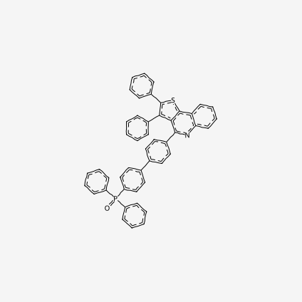 O=P(c1ccccc1)(c1ccccc1)c1ccc(-c2ccc(-c3nc4ccccc4c4sc(-c5ccccc5)c(-c5ccccc5)c34)cc2)cc1